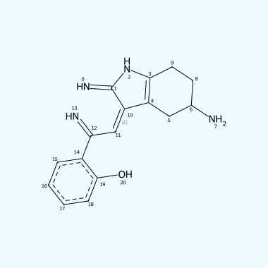 N=C1NC2=C(CC(N)CC2)/C1=C/C(=N)c1ccccc1O